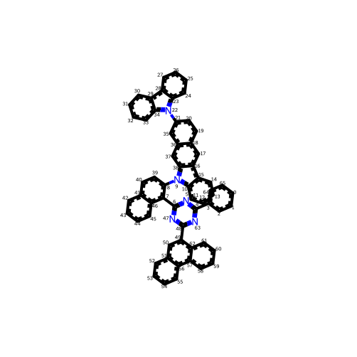 c1ccc(-c2nc(-c3c(-n4c5ccccc5c5cc6ccc(-n7c8ccccc8c8ccccc87)cc6cc54)ccc4ccccc34)nc(-c3cc4ccccc4c4ccccc34)n2)cc1